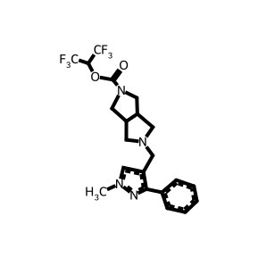 Cn1cc(CN2CC3CN(C(=O)OC(C(F)(F)F)C(F)(F)F)CC3C2)c(-c2ccccc2)n1